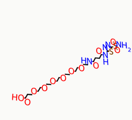 NS(=O)(=O)c1nnc(NC(=O)CCC(=O)NCCOCCOCCOCCOCCOCCOCCC(=O)O)s1